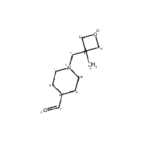 CC1(CN2CCC(C=O)CC2)COC1